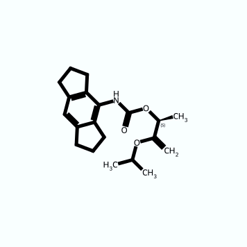 C=C(OC(C)C)[C@H](C)OC(=O)Nc1c2c(cc3c1CCC3)CCC2